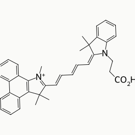 C[N+]1=C(/C=C/C=C/C=C2/N(CCC(=O)O)c3ccccc3C2(C)C)C(C)(C)c2c1c1ccccc1c1ccccc21